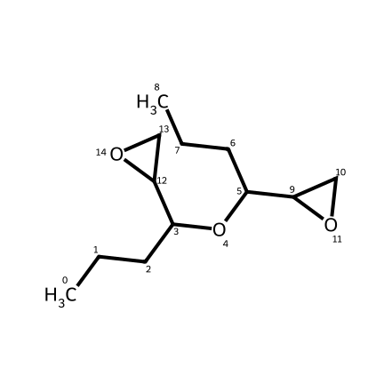 CCCC(OC(CCC)C1CO1)C1CO1